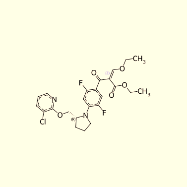 CCO/C=C(\C(=O)OCC)C(=O)c1cc(F)c(N2CCC[C@@H]2COc2ncccc2Cl)cc1F